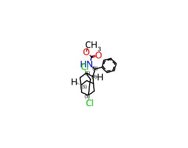 COC(=O)N[C@@H](c1ccccc1)[C@H]1C2C[C@H]3C[C@](Cl)(C2)C[C@@]1(Cl)C3